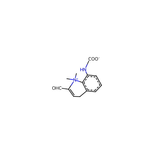 C[N+]1(C)C(C=O)=CCc2cccc(NC(=O)[O-])c21